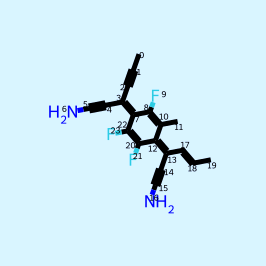 CC#C/C(C#CN)=c1\c(F)c(C)/c(=C(/C#CN)C=CC)c(F)c1F